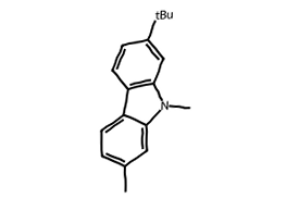 Cc1ccc2c3ccc(C(C)(C)C)cc3n(C)c2c1